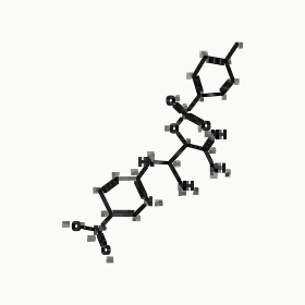 Cc1ccc(S(=O)(=O)OC(C(=N)N)C(N)Nc2ccc([N+](=O)[O-])cn2)cc1